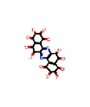 O=c1c(=O)c(=O)c2c(c1=O)c(=O)c(=O)c1nc3c(nc12)c(=O)c(=O)c1c(=O)c(=O)c(=O)c(=O)c13